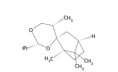 CC(C)[C@@H]1OC[C@H](C)[C@]2(C[C@H]3CC[C@]2(C)C3(C)C)O1